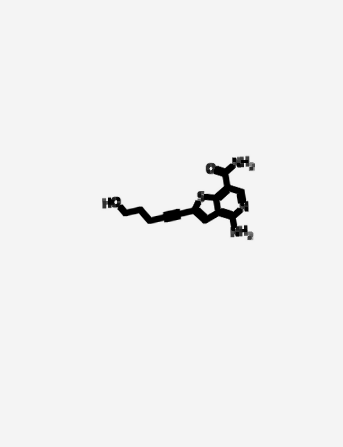 NC(=O)c1cnc(N)c2cc(C#CCCCO)sc12